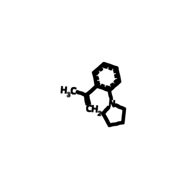 C=C(C)c1ccccc1N1CCCC1